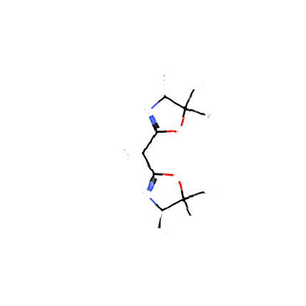 CC(C)C1(C(C)C)OC(CC2=N[C@H](C(C)(C)C)C(C(C)C)(C(C)C)O2)=N[C@@H]1C(C)(C)C.[Br-].[Br-].[Ni+2]